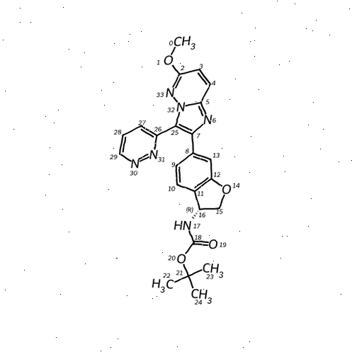 COc1ccc2nc(-c3ccc4c(c3)OC[C@@H]4NC(=O)OC(C)(C)C)c(-c3cccnn3)n2n1